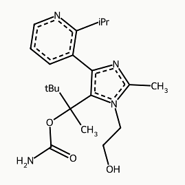 Cc1nc(-c2cccnc2C(C)C)c(C(C)(OC(N)=O)C(C)(C)C)n1CCO